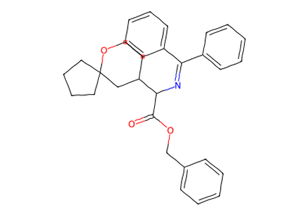 O=C(OCc1ccccc1)C(N=C(c1ccccc1)c1ccccc1)C1CCOC2(CCCC2)C1